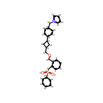 O=S(=O)(Cc1ccccc1COCC1CC(c2ccc(Cn3cccc3)cc2)C1)c1ccccc1